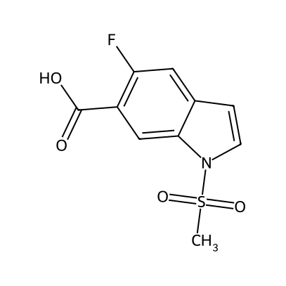 CS(=O)(=O)n1ccc2cc(F)c(C(=O)O)cc21